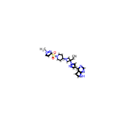 Cn1ccc(S(=O)(=O)N2CCC(N3CC(CC#N)(n4cc(-c5ncnc6[nH]ccc56)cn4)C3)CC2)n1